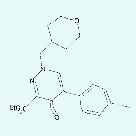 CCOC(=O)c1nn(CC2CCOCC2)cc(-c2ccc(C)cc2)c1=O